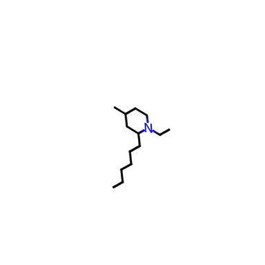 CCCCCCC1CC(C)CCN1CC